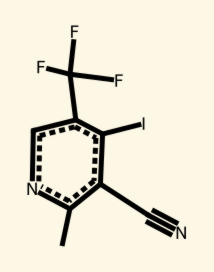 Cc1ncc(C(F)(F)F)c(I)c1C#N